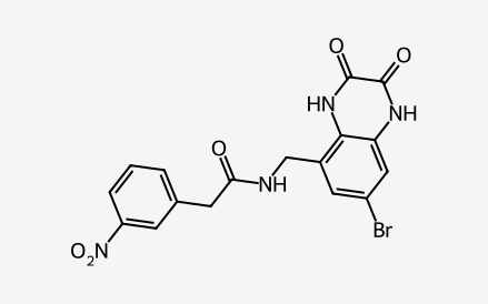 O=C(Cc1cccc([N+](=O)[O-])c1)NCc1cc(Br)cc2[nH]c(=O)c(=O)[nH]c12